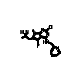 CC(N)Cc1c(F)c2c(NCc3ccccn3)nc(Cl)nc2n1C